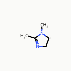 CC1=NC[C]N1C